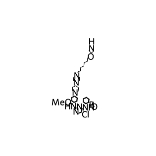 COc1cc(N2CCC(N3CCN(CCCCCCCOC4CNC4)CC3)CC2)ccc1Nc1ncc(Cl)c(Nc2ccccc2P(C)(C)=O)n1